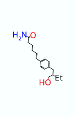 CCC(CO)Cc1ccc(C=CCCCC(N)=O)cc1